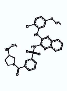 CNC1CCN(C(=O)c2cccc(S(=O)(=O)Nc3nc4ccccc4nc3Nc3cc(OC)ccc3Cl)c2)C1